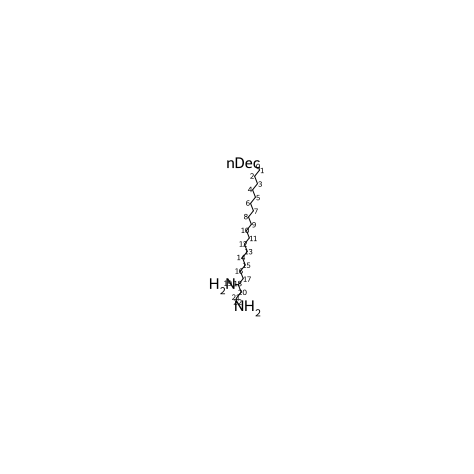 CCCCCCCCCCCCCCCCCCCCCCCCCCCC(N)CCN